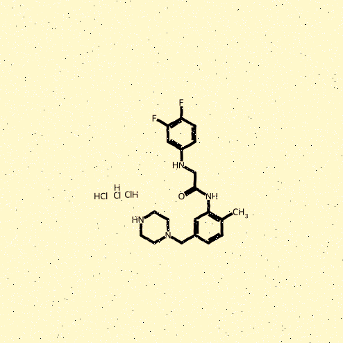 Cc1ccc(CN2CCNCC2)cc1NC(=O)CNc1ccc(F)c(F)c1.Cl.Cl.Cl